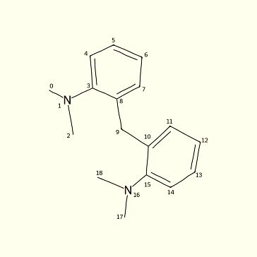 CN(C)c1ccccc1Cc1ccccc1N(C)C